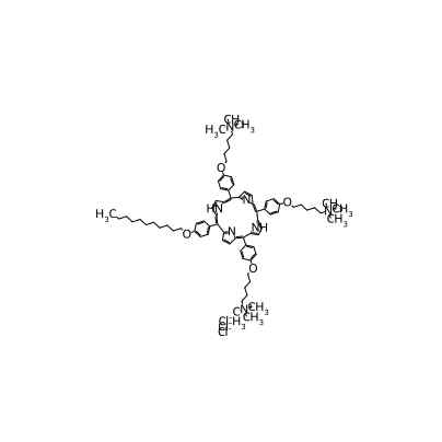 CCCCCCCCCCCOc1ccc(-c2c3nc(c(-c4ccc(OCCCCC[N+](C)(C)C)cc4)c4ccc([nH]4)c(-c4ccc(OCCCCC[N+](C)(C)C)cc4)c4nc(c(-c5ccc(OCCCCC[N+](C)(C)C)cc5)c5ccc2[nH]5)C=C4)C=C3)cc1.[Cl-].[Cl-].[Cl-]